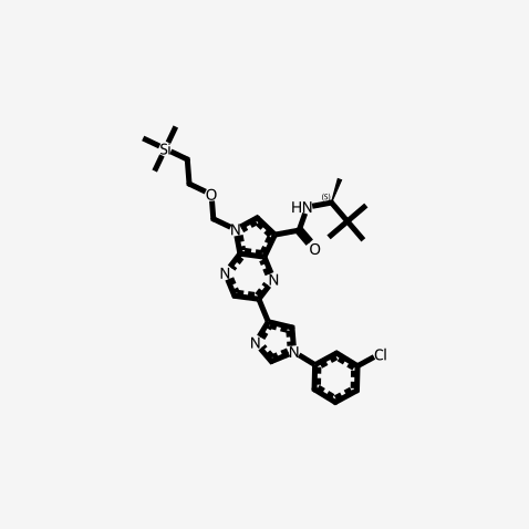 C[C@H](NC(=O)c1cn(COCC[Si](C)(C)C)c2ncc(-c3cn(-c4cccc(Cl)c4)cn3)nc12)C(C)(C)C